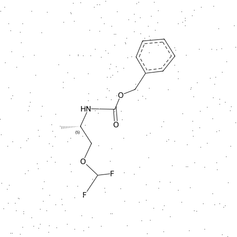 C[C@@H](COC(F)F)NC(=O)OCc1ccccc1